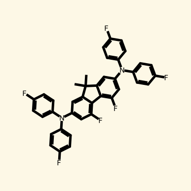 CC1(C)c2cc(N(c3ccc(F)cc3)c3ccc(F)cc3)cc(F)c2-c2c(F)cc(N(c3ccc(F)cc3)c3ccc(F)cc3)cc21